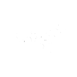 CN1CSC=C1NSc1cc(Cl)c(Nc2ccc(Cl)cc2N2CCC(N3CCCC3)C2)cc1P